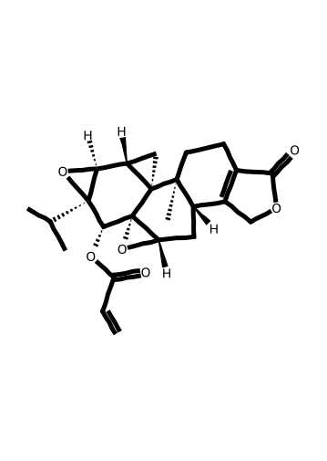 C=CC(=O)O[C@@H]1[C@@]2(C(C)C)O[C@H]2[C@@H]2C[C@]23[C@]12O[C@H]2C[C@H]1C2=C(CC[C@@]13C)C(=O)OC2